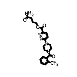 NC(=O)CCCOC(=O)c1ccc(N2CCN(C(=O)c3ccccc3C(F)(F)F)CC2)nn1